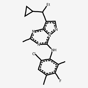 CCC(c1cnn2c(Nc3c(Cl)cc(C)c(F)c3C)nc(C)nc12)C1CC1